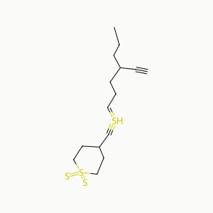 C#CC(CCC)CCC=[SH]#CC1CCS(=S)(=S)CC1